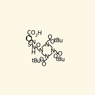 CC(C)(C)OC(=O)CN1CCN(CC(=O)Nc2nc3cc(C(=O)O)ccc3s2)CCN(CC(=O)OC(C)(C)C)CCN(CC(=O)OC(C)(C)C)CC1